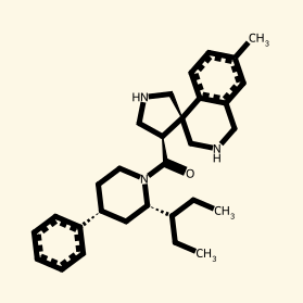 CCC(CC)[C@@H]1C[C@H](c2ccccc2)CCN1C(=O)[C@H]1CNC[C@@]12CNCc1cc(C)ccc12